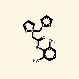 Cc1cccc(C)c1NC(=O)C[N+]1(Cn2cccn2)C=CC=N1